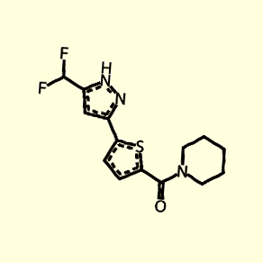 O=C(c1ccc(-c2cc(C(F)F)[nH]n2)s1)N1CCCCC1